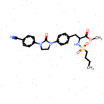 CCCCS(=O)(=O)NC(Cc1ccc(N2CCN(c3ccc(C#N)cc3)C2=O)cc1)C(=O)OC